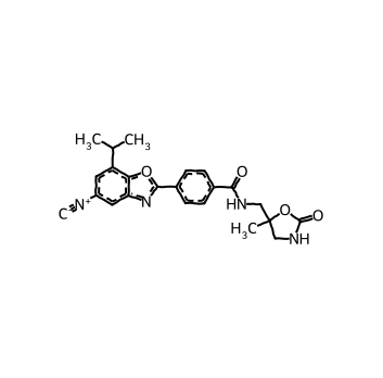 [C-]#[N+]c1cc(C(C)C)c2oc(-c3ccc(C(=O)NCC4(C)CNC(=O)O4)cc3)nc2c1